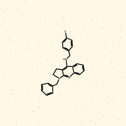 Fc1ccc(CNc2c3c(nc4ccccc24)N(Cc2ccccc2)CC3)cc1